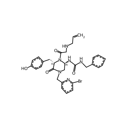 C=CCNCC(=O)N1[C@@H](NC(=O)NCc2ccccc2)CN(Cc2cccc(Br)n2)C(=O)[C@@H]1Cc1ccc(O)cc1